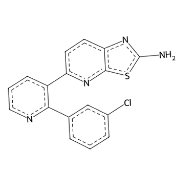 Nc1nc2ccc(-c3cccnc3-c3cccc(Cl)c3)nc2s1